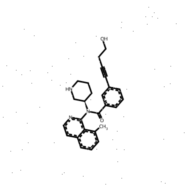 Cc1cccc2ccnc(N(C(=O)c3cccc(C#CCCO)c3)[C@@H]3CCCNC3)c12